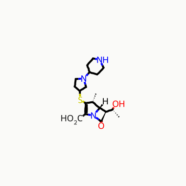 C[C@@H](O)[C@H]1C(=O)N2C(C(=O)O)=C(SC3CCN(C4CCNCC4)C3)[C@H](C)[C@H]12